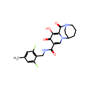 Cc1cc(F)c(CNC(=O)c2cn3c(c(O)c2=O)C(=O)N2CCCC3CC2)c(F)c1